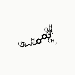 Cc1cc2n[nH]c(=O)n2c2ccc(-c3ccc(CNCCCN4CCOCC4)cc3)cc12